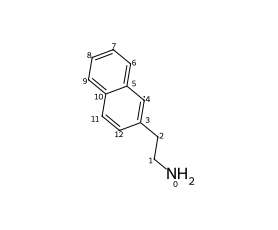 NCCc1[c]c2ccccc2cc1